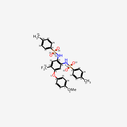 COc1ccc(Oc2cc(NS(=O)(=O)c3ccc(C)cc3)c(NS(=O)(=O)c3ccc(C)cc3)cc2C(F)(F)F)cc1